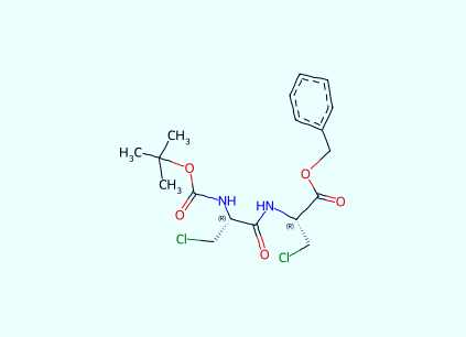 CC(C)(C)OC(=O)N[C@@H](CCl)C(=O)N[C@@H](CCl)C(=O)OCc1ccccc1